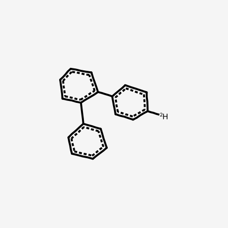 [2H]c1ccc(-c2ccccc2-c2ccccc2)cc1